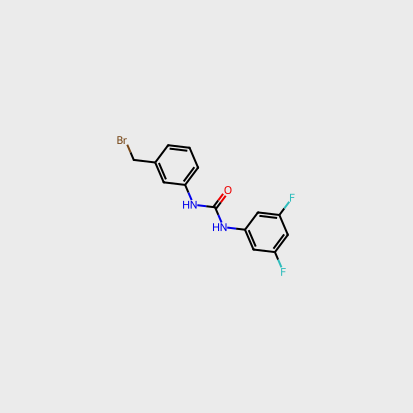 O=C(Nc1cc(F)cc(F)c1)Nc1cccc(CBr)c1